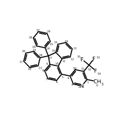 Cc1ncc(-c2cccc3c2-c2ccccc2C3(c2ccccc2)c2ccccc2)cc1C(F)(F)F